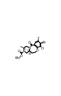 C[C@H]1CN2C(=O)c3cc(F)c(Br)c(Cl)c3OCC[C@H]2CN1C(=O)OC(C)(C)C